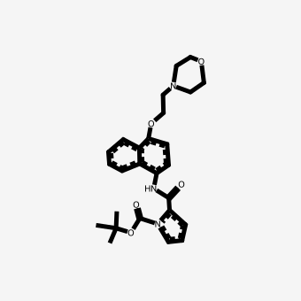 CC(C)(C)OC(=O)n1cccc1C(=O)Nc1ccc(OCCN2CCOCC2)c2ccccc12